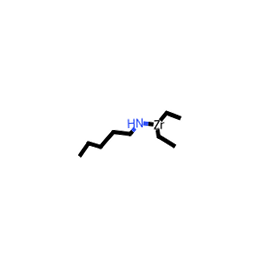 CCCCC[NH][Zr]([CH2]C)[CH2]C